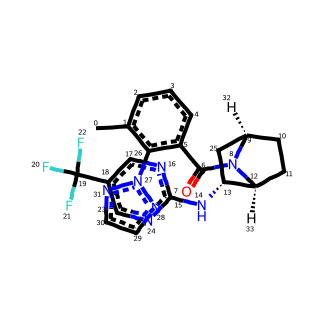 Cc1cccc(C(=O)N2[C@@H]3CC[C@H]2[C@H](Nc2ncc(C(F)(F)F)cn2)C3)c1-n1nccn1